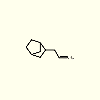 C=CCC1CC2CCC1C2